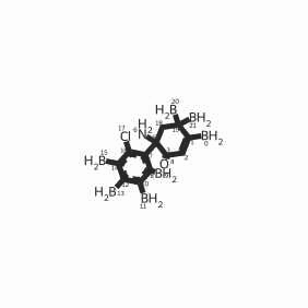 BC1=CC(=O)C(N)(c2c(B)c(B)c(B)c(B)c2Cl)CC1(B)B